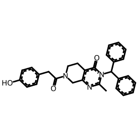 Cc1nc2c(c(=O)n1C(c1ccccc1)c1ccccc1)CCN(C(=O)Cc1ccc(O)cc1)C2